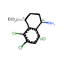 CCOC(=O)[C@@H]1CC[C@@H](N)c2ccc(Cl)c(Cl)c21.Cl